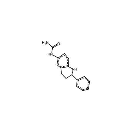 NC(=O)Nc1ccc2c(c1)CCC(c1ccccc1)N2